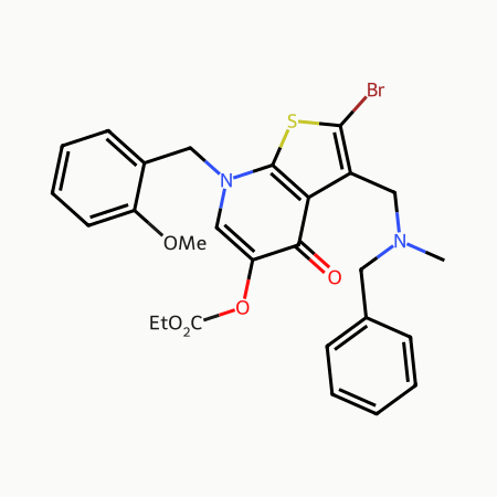 CCOC(=O)Oc1cn(Cc2ccccc2OC)c2sc(Br)c(CN(C)Cc3ccccc3)c2c1=O